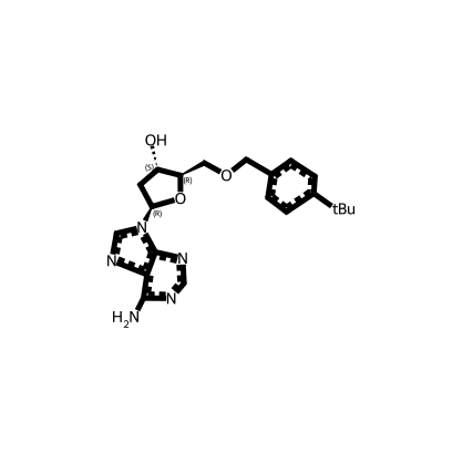 CC(C)(C)c1ccc(COC[C@H]2O[C@@H](n3cnc4c(N)ncnc43)C[C@@H]2O)cc1